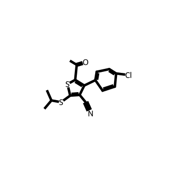 CC(=O)c1sc(SC(C)C)c(C#N)c1-c1ccc(Cl)cc1